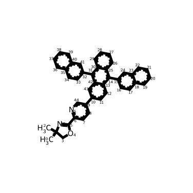 CC1(C)COC(c2ccc(-c3ccc4c(-c5ccc6ccccc6c5)c5ccccc5c(-c5ccc6ccccc6c5)c4c3)cn2)=N1